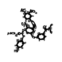 CN(C)C(=O)c1cccc(Oc2nc(Oc3ccc(C#N)c([N+](=O)[O-])c3)c([N+](=O)[O-])c(OC(Cc3ccc(S)cc3)C(=O)O)n2)c1